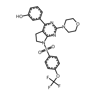 O=S(=O)(c1ccc(OC(F)(F)F)cc1)N1CCc2c(-c3cccc(O)c3)nc(N3CCOCC3)nc21